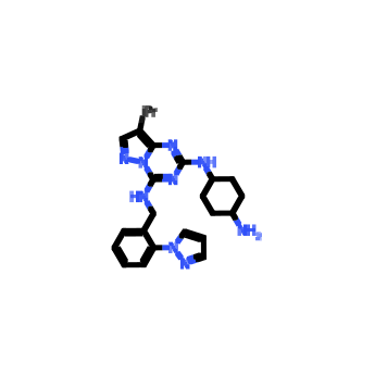 CC(C)c1cnn2c(NCc3ccccc3-n3cccn3)nc(NC3CCC(N)CC3)nc12